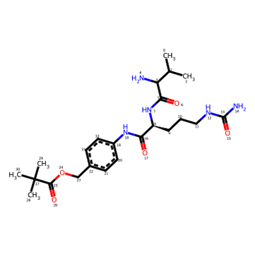 CC(C)C(N)C(=O)N[C@@H](CCCNC(N)=O)C(=O)Nc1ccc(COC(=O)C(C)(C)C)cc1